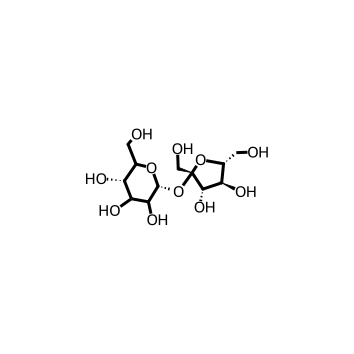 OCC1O[C@H](O[C@]2(CO)O[C@H](CO)[C@@H](O)[C@@H]2O)C(O)C(O)[C@@H]1O